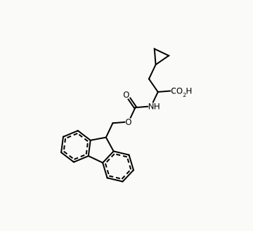 O=C(NC(CC1CC1)C(=O)O)OCC1c2ccccc2-c2ccccc21